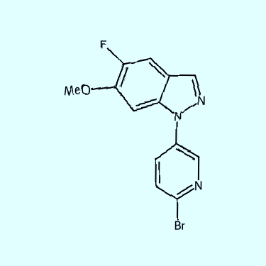 COc1cc2c(cnn2-c2ccc(Br)nc2)cc1F